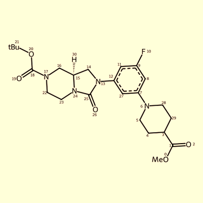 COC(=O)C1CCN(c2cc(F)cc(N3C[C@@H]4CN(C(=O)OC(C)(C)C)CCN4C3=O)c2)CC1